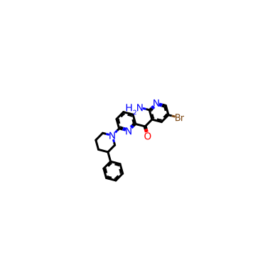 Nc1ncc(Br)cc1C(=O)c1cccc(N2CCCC(c3ccccc3)C2)n1